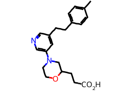 Cc1ccc(CCc2cncc(N3CCOC(CCC(=O)O)C3)c2)cc1